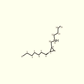 CCCCCCC[C@@H]1CC1CNCCCC